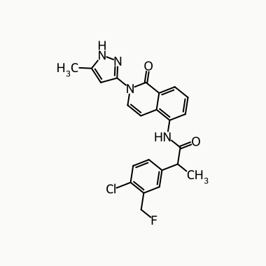 Cc1cc(-n2ccc3c(NC(=O)C(C)c4ccc(Cl)c(CF)c4)cccc3c2=O)n[nH]1